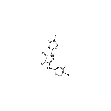 O=C(Nc1ccc(F)c(F)c1)C1(C(=O)Nc2ccc(F)c(F)c2)CC1